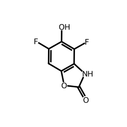 O=c1[nH]c2c(F)c(O)c(F)cc2o1